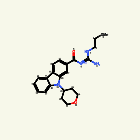 COCCN/C(N)=N\C(=O)c1ccc2c3ccccc3n(C3CCOCC3)c2c1